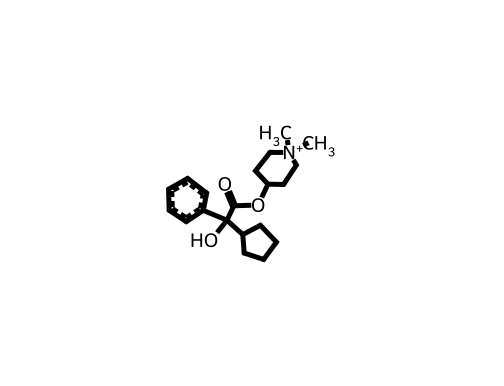 C[N+]1(C)CCC(OC(=O)C(O)(c2ccccc2)C2CCCC2)CC1